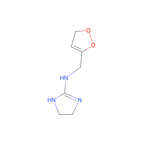 C1=C(CNC2=NCCN2)OOC1